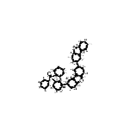 O=P(c1ccccc1)(c1ccccc1)c1cccc(-c2ccc3oc4ccc(-c5ccc6sc7ccccc7c6c5)cc4c3c2)c1